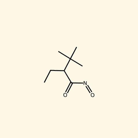 CCC(C(=O)N=O)C(C)(C)C